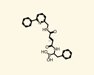 O=C(/C=C/C(=O)NC(Cc1ccccc1)B(O)O)NCc1cccc(-c2ccccc2)n1